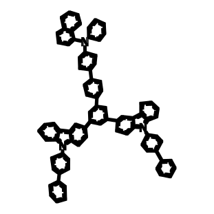 c1ccc(-c2ccc(-n3c4ccccc4c4cc(-c5cc(-c6ccc(-c7ccc(N(c8ccccc8)c8cccc9ccccc89)cc7)cc6)cc(-c6ccc7c(c6)c6ccccc6n7-c6ccc(-c7ccccc7)cc6)c5)ccc43)cc2)cc1